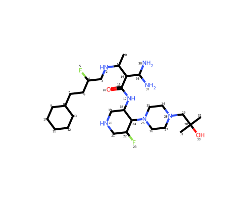 CC(NCC(F)CCC1CCCCC1)C(C(=O)NC1CNCC(F)C1N1CCN(CC(C)(C)O)CC1)C(N)N